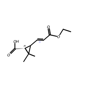 CCOC(=O)/C=C/C1[C@@H](C(=O)O)C1(C)C